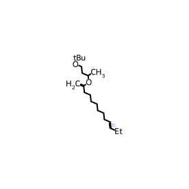 C=C(CCCCCCC/C=C/CC)OC(C)CCOC(C)(C)C